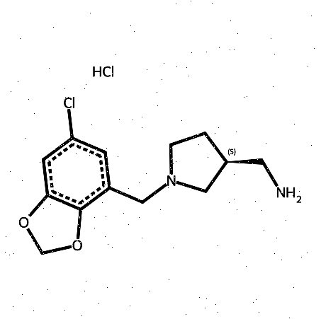 Cl.NC[C@@H]1CCN(Cc2cc(Cl)cc3c2OCO3)C1